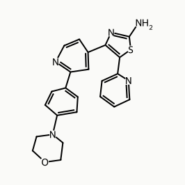 Nc1nc(-c2ccnc(-c3ccc(N4CCOCC4)cc3)c2)c(-c2ccccn2)s1